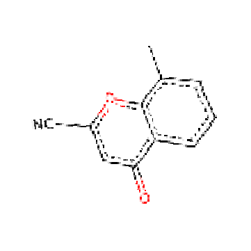 Cc1cccc2c(=O)cc(C#N)oc12